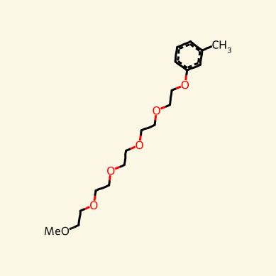 COCCOCCOCCOCCOCCOc1cccc(C)c1